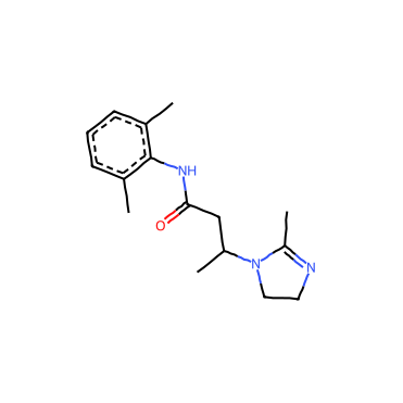 CC1=NCCN1C(C)CC(=O)Nc1c(C)cccc1C